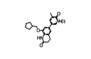 CCn1cc(-c2cc3c(c(OCC4CCCC4)c2)NC(=O)CC3)cc(C)c1=O